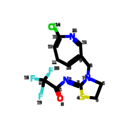 O=C(/N=C1\SCCN1CC1=CCC=C(Cl)N=C1)C(F)(F)F